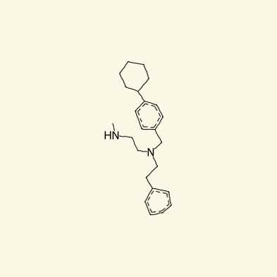 CNCCN(CCc1ccccc1)Cc1ccc(C2CCCCC2)cc1